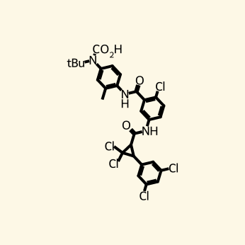 Cc1cc(N(C(=O)O)C(C)(C)C)ccc1NC(=O)c1cc(NC(=O)C2C(c3cc(Cl)cc(Cl)c3)C2(Cl)Cl)ccc1Cl